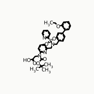 CCOc1ccccc1-c1ccc(CN(Cc2cccc(N(CC(=O)O)C(=O)OC(C)(C)C)n2)S(=O)(=O)c2ccccn2)cc1